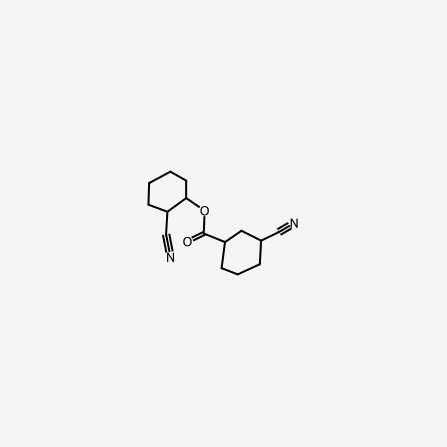 N#CC1CCCC(C(=O)OC2CCCCC2C#N)C1